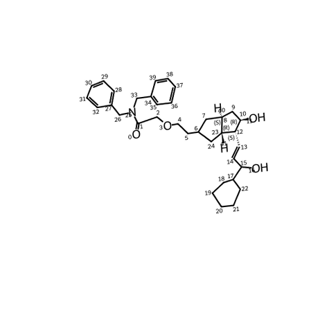 O=C(COCCC1C[C@H]2C[C@@H](O)[C@H](C=CC(O)C3CCCCC3)[C@@H]2C1)N(Cc1ccccc1)Cc1ccccc1